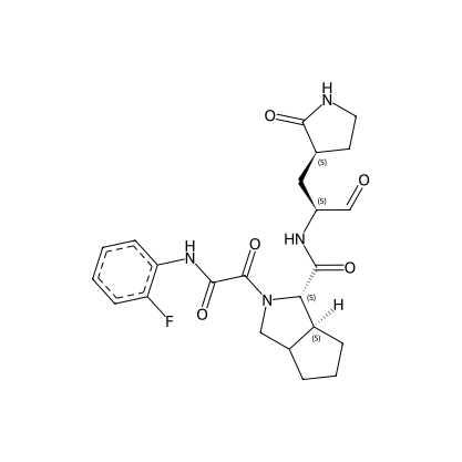 O=C[C@H](C[C@@H]1CCNC1=O)NC(=O)[C@@H]1[C@H]2CCCC2CN1C(=O)C(=O)Nc1ccccc1F